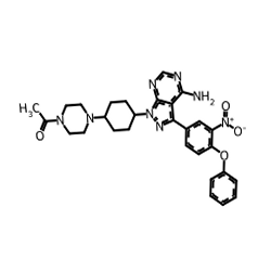 CC(=O)N1CCN(C2CCC(n3nc(-c4ccc(Oc5ccccc5)c([N+](=O)[O-])c4)c4c(N)ncnc43)CC2)CC1